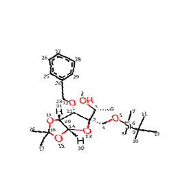 C[C@@H](O)[C@@]1(CO[Si](C)(C)C(C)(C)C)O[C@@H]2OC(C)(C)O[C@@H]2[C@@H]1OCc1ccccc1